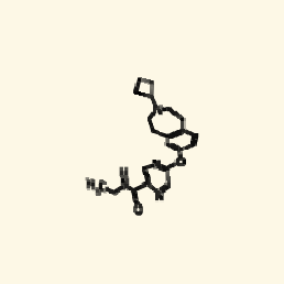 CCNC(=O)c1cnc(Oc2ccc3c(c2)CCN(C2CCC2)CC3)cn1